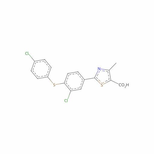 Cc1nc(-c2ccc(Sc3ccc(Cl)cc3)c(Cl)c2)sc1C(=O)O